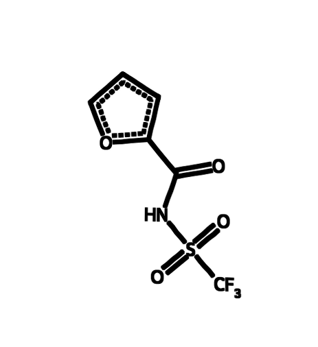 O=C(NS(=O)(=O)C(F)(F)F)c1ccco1